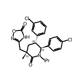 CC(C)N1C(=O)[C@](C)(Cc2noc(=O)[nH]2)C[C@H](c2cccc(Cl)c2)[C@H]1c1ccc(Cl)cc1